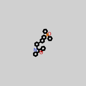 O=P(c1ccccc1)(c1ccccc1)c1ccc2cc(-c3cccc(-c4nc5ccccc5c5oc6ccccc6c45)c3)ccc2c1